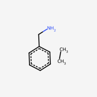 CC.NCc1ccccc1